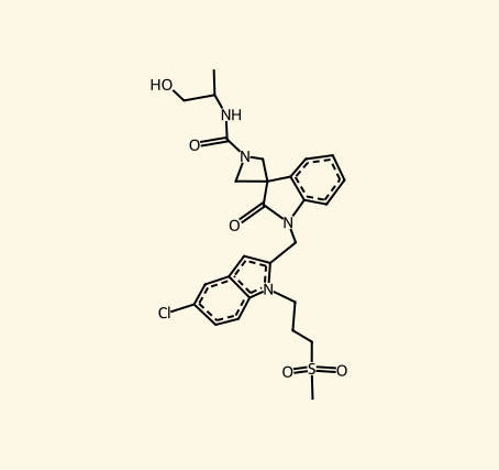 CC(CO)NC(=O)N1CC2(C1)C(=O)N(Cc1cc3cc(Cl)ccc3n1CCCS(C)(=O)=O)c1ccccc12